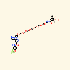 O=C(Nc1ccc(OC(F)(F)F)cc1)c1cnc(N2CC[C@@H](OCCOCCOCCOCCOCCOCCOCCOCCNC(=O)[C@H]3C[C@@H]4C[C@H]3[C@@H](O)[C@H]4O)C2)c(-c2ccn[nH]2)c1